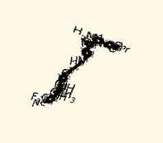 CC(C)S(=O)(=O)c1ccc(-c2cnc(N)c(-c3cc(-c4ccc(CNCCCCCOc5ccc(S(=O)(=O)CC(C)(O)C(=O)Nc6ccc(C#N)c(C(F)(F)F)c6)cc5)cc4)no3)n2)cc1